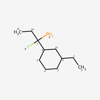 CCC1CCCC(C(F)(P)CC)C1